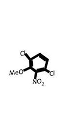 COc1c(Cl)ccc(Cl)c1[N+](=O)[O-]